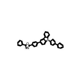 c1ccc(-c2ccc(-n3c4ccccc4c4cc(-c5ccc(-c6nnc(-c7ccccc7)o6)cc5)ccc43)cc2)cc1